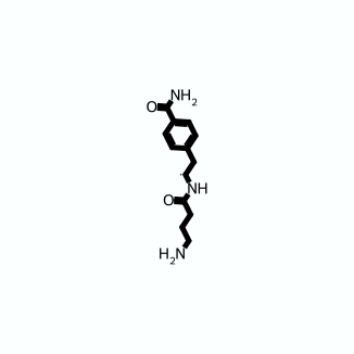 NCCCC(=O)N[CH]Cc1ccc(C(N)=O)cc1